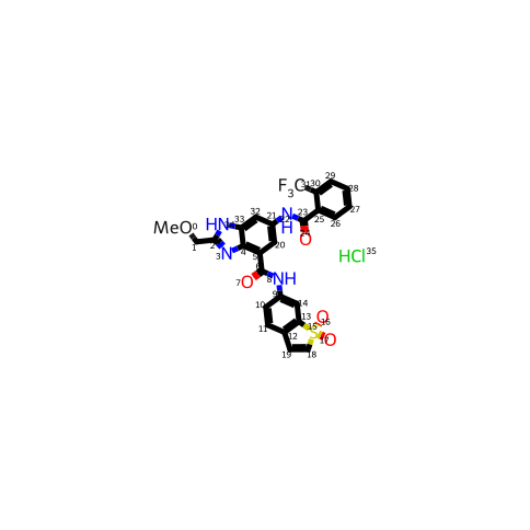 COCc1nc2c(C(=O)Nc3ccc4c(c3)S(=O)(=O)C=C4)cc(NC(=O)c3ccccc3C(F)(F)F)cc2[nH]1.Cl